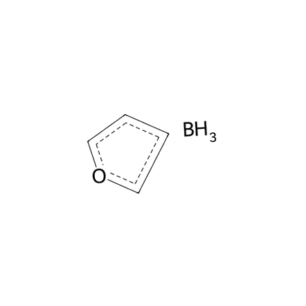 B.c1ccoc1